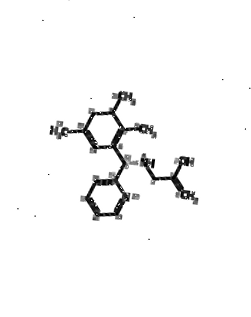 C=C(O)CN[C@@H](C1=C(C)C(C)CC(C)=C1)c1ccccn1